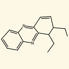 CCC1C=Cc2nc3ccccc3nc2C1CC